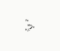 [CH3][Fe].[Fe].[Mn]